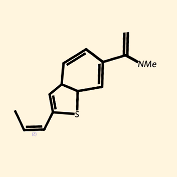 C=C(NC)C1=CC2SC(/C=C\C)=CC2C=C1